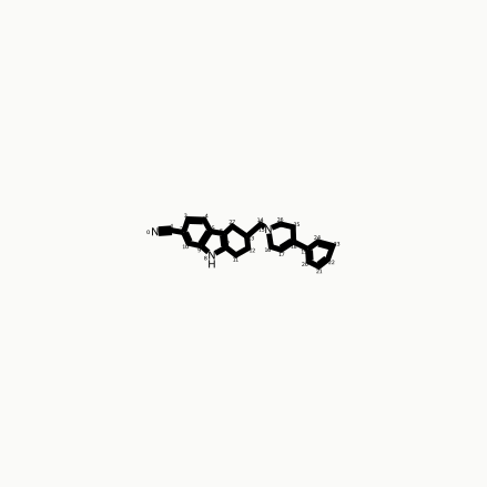 N#Cc1ccc2c3c([nH]c2c1)CCC(CN1CC=C(c2ccccc2)CC1)C3